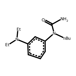 CCCCN(C(N)=O)c1cccc(N(CC)CC)c1